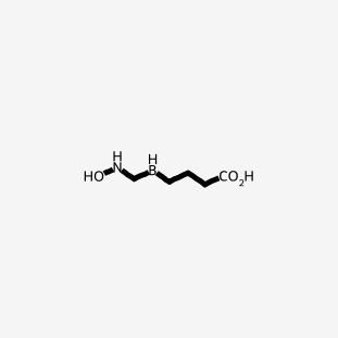 O=C(O)CCCBCNO